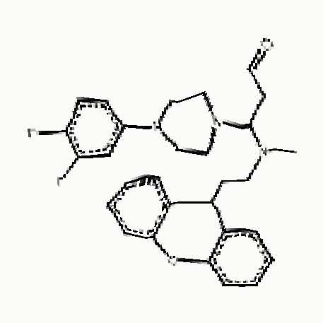 CN(CCC1c2ccccc2Oc2ccccc21)C(CC=O)N1CCN(c2ccc(F)c(F)c2)CC1